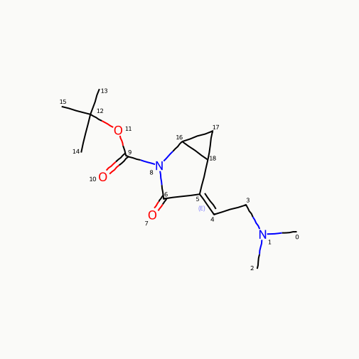 CN(C)C/C=C1/C(=O)N(C(=O)OC(C)(C)C)C2CC12